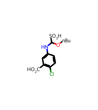 CCCCOC(Nc1ccc(Cl)c(C(=O)O)c1)S(=O)(=O)O